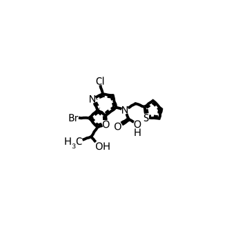 CC(O)c1oc2c(N(Cc3cccs3)C(=O)O)cc(Cl)nc2c1Br